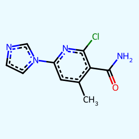 Cc1cc(-n2ccnc2)nc(Cl)c1C(N)=O